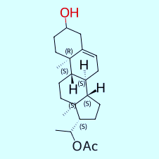 CC(=O)OC(C)[C@H]1CC[C@H]2[C@@H]3CC=C4CC(O)CC[C@]4(C)[C@H]3CC[C@]12C